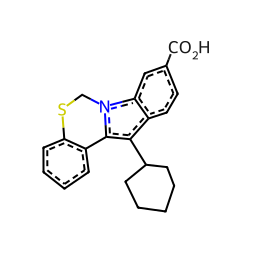 O=C(O)c1ccc2c(C3CCCCC3)c3n(c2c1)CSc1ccccc1-3